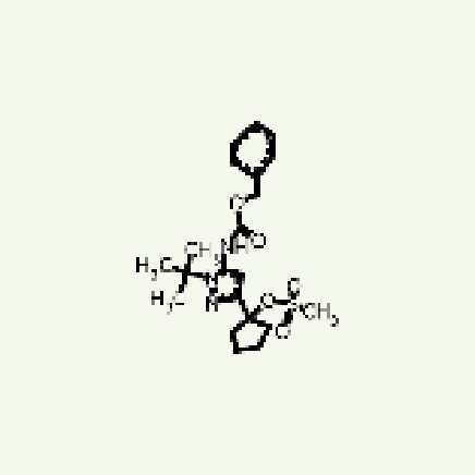 CC(C)(C)n1nc(C2(OS(C)(=O)=O)CCCC2)cc1NC(=O)OCc1ccccc1